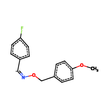 COc1ccc(CO/N=[C]\c2ccc(F)cc2)cc1